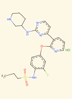 Cl.O=S(=O)(CCC(F)(F)F)Nc1ccc(Oc2ncccc2-c2ccnc(NC3CCCNC3)n2)cc1F